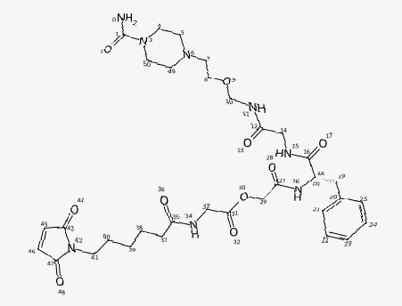 NC(=O)N1CCN(CCOCNC(=O)CNC(=O)[C@H](Cc2ccccc2)NC(=O)COC(=O)CNC(=O)CCCCCN2C(=O)C=CC2=O)CC1